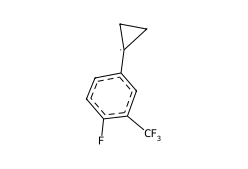 Fc1ccc([C]2CC2)cc1C(F)(F)F